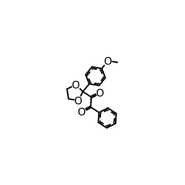 COc1ccc(C2(C(=O)C(=O)c3ccccc3)OCCO2)cc1